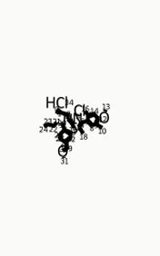 C#CCN(c1nc(-c2cc(C)c(OC)cc2Cl)c(C)s1)[C@@H](CCCC)c1ccc(COC)cc1.Cl